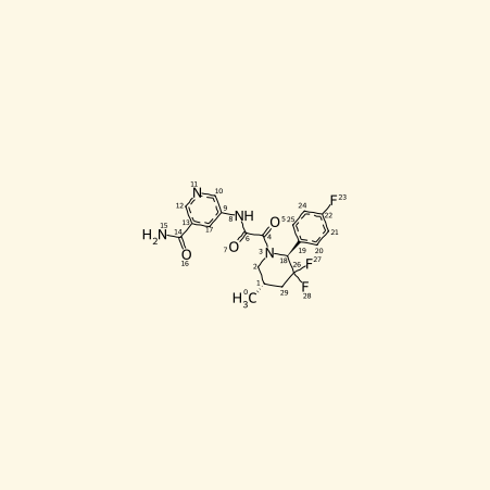 C[C@@H]1CN(C(=O)C(=O)Nc2cncc(C(N)=O)c2)[C@@H](c2ccc(F)cc2)C(F)(F)C1